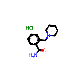 Cl.NC(=O)c1ccccc1CN1CC=CCC1